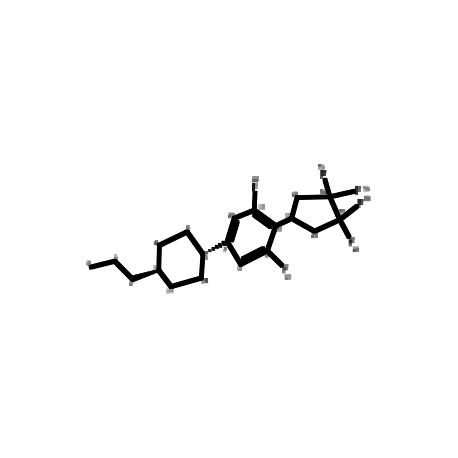 CCC[C@H]1CC[C@H](c2cc(F)c(C3CC(F)(F)C(F)(F)C3)c(F)c2)CC1